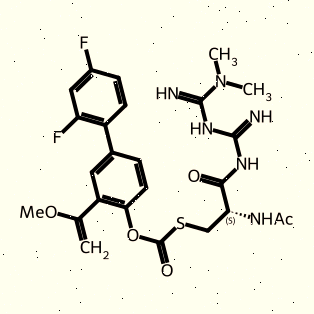 C=C(OC)c1cc(-c2ccc(F)cc2F)ccc1OC(=O)SC[C@@H](NC(C)=O)C(=O)NC(=N)NC(=N)N(C)C